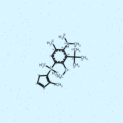 COc1c([Si](C)(C)C2=C(C)C=CC2)cc(C)c([SiH](C)C)c1C(C)(C)C